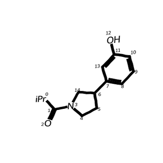 CC(C)C(=O)N1CCC(c2cccc(O)c2)C1